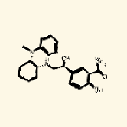 CN(c1ccccc1)[C@H]1CCCC[C@H]1NCC(O)c1ccc(O)c(C(N)=O)c1